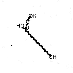 OCCCCCCCCCCCCCCCCCCC(CO)OCCOCCO